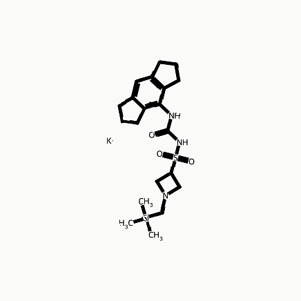 C[Si](C)(C)CN1CC(S(=O)(=O)NC(=O)Nc2c3c(cc4c2CCC4)CCC3)C1.[K]